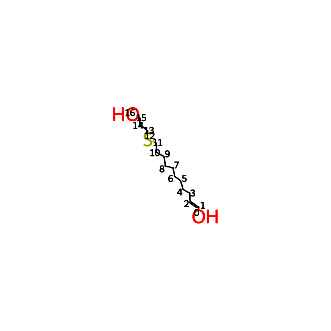 OC=CCCCCCCCCCSCCCO